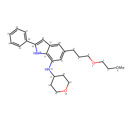 COCCOCCCc1cc(NC2CCOCC2)c2[nH]c(-c3ccccc3)cc2c1